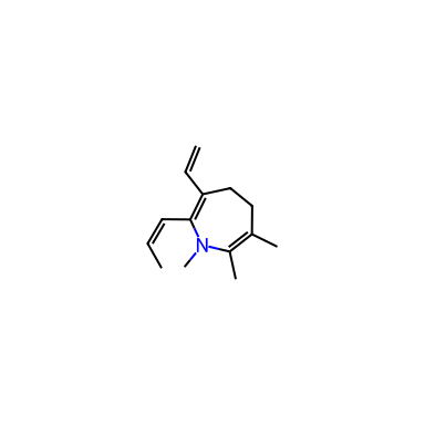 C=CC1=C(/C=C\C)N(C)C(C)=C(C)CC1